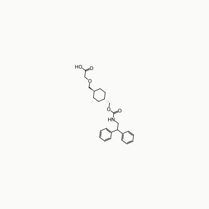 O=C(O)COC[C@H]1CC[C@H](COC(=O)NCC(c2ccccc2)c2ccccc2)CC1